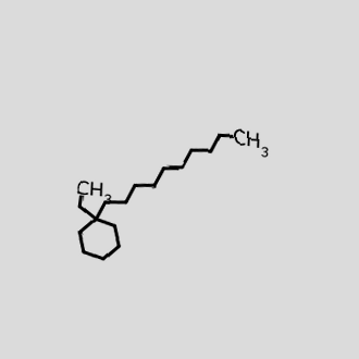 CCCCCCCCCCC1(CC)CCCCC1